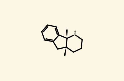 C[C@]12CCCN[C@@]1(C)c1ccccc1C2